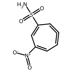 NS(=O)(=O)C1=CC([N+](=O)[O-])=CC=C=C1